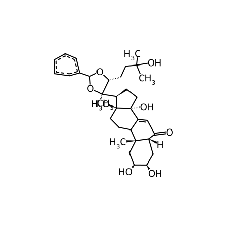 CC(C)(O)CC[C@H]1OC(c2ccccc2)O[C@]1(C)[C@H]1CC[C@@]2(O)C3=CC(=O)[C@@H]4C[C@@H](O)[C@@H](O)C[C@]4(C)C3CC[C@]12C